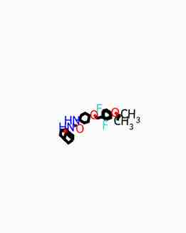 CC(C)Oc1cc(F)c(CO[C@H]2CC[C@H](NC(=O)NC34CC5CC(CC(C5)C3)C4)CC2)c(F)c1